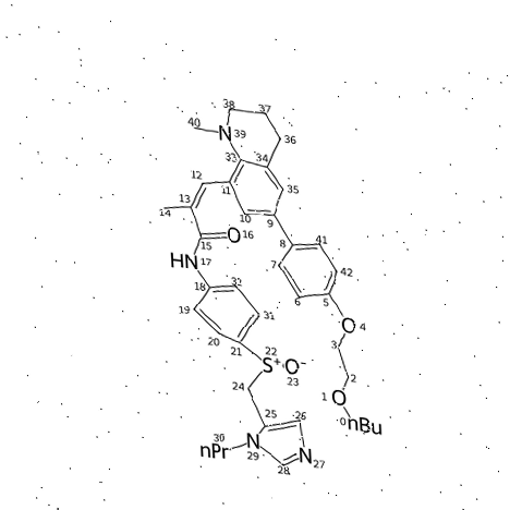 CCCCOCCOc1ccc(-c2cc(C=C(C)C(=O)Nc3ccc([S@@+]([O-])Cc4cncn4CCC)cc3)c3c(c2)CCCN3C)cc1